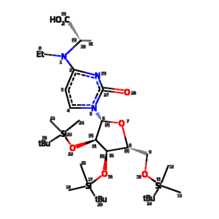 CCN(c1ccn([C@@H]2O[C@H](CO[Si](C)(C)C(C)(C)C)[C@@H](O[Si](C)(C)C(C)(C)C)[C@H]2O[Si](C)(C)C(C)(C)C)c(=O)n1)[C@@H](C)C(=O)O